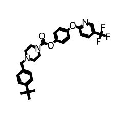 CC(C)(C)c1ccc(CN2CCN(C(=O)Oc3ccc(Oc4ccc(C(F)(F)F)cn4)cc3)CC2)cc1